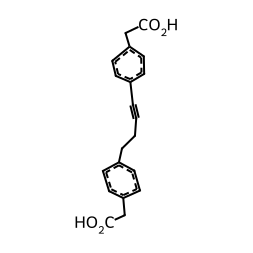 O=C(O)Cc1ccc(C#CCCc2ccc(CC(=O)O)cc2)cc1